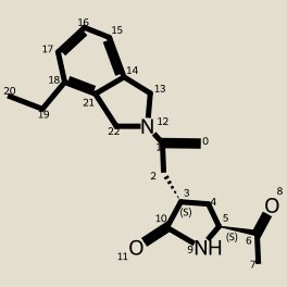 C=C(C[C@@H]1C[C@@H](C(C)=O)NC1=O)N1Cc2cccc(CC)c2C1